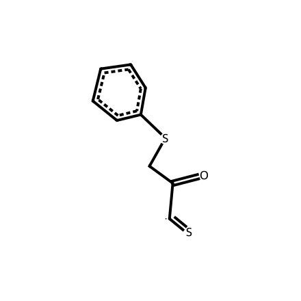 O=C([C]=S)CSc1ccccc1